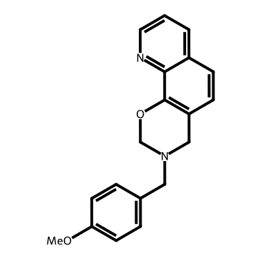 COc1ccc(CN2COc3c(ccc4cccnc34)C2)cc1